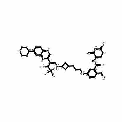 NC(/C(=C\NC1CC(CCCNc2ccc(C=O)c(C(=O)NC3CCC(=O)NC3=O)c2)C1)c1cnc2ccc(C3CCOCC3)cc2n1)C(F)(F)F